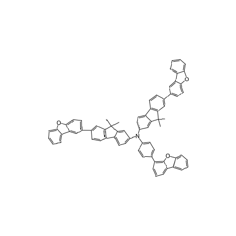 CC1(C)c2cc(-c3ccc4oc5ccccc5c4c3)ccc2-c2ccc(N(c3ccc(-c4cccc5c4oc4ccccc45)cc3)c3ccc4c(c3)C(C)(C)c3cc(-c5ccc6oc7ccccc7c6c5)ccc3-4)cc21